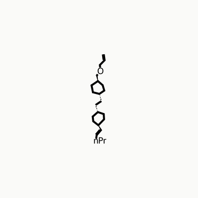 C=CCOC[C@H]1CC[C@H](CC[C@H]2CC[C@H](C=CCCC)CC2)CC1